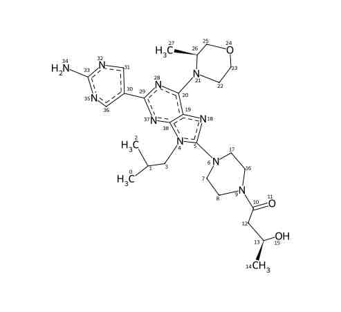 CC(C)Cn1c(N2CCN(C(=O)C[C@H](C)O)CC2)nc2c(N3CCOC[C@@H]3C)nc(-c3cnc(N)nc3)nc21